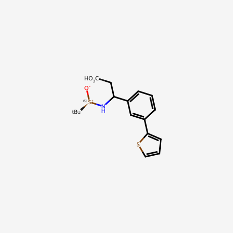 CC(C)(C)[S@@+]([O-])NC(CC(=O)O)c1cccc(-c2cccs2)c1